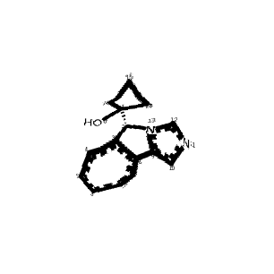 OC1([C@H]2c3ccccc3-c3cncn32)CCC1